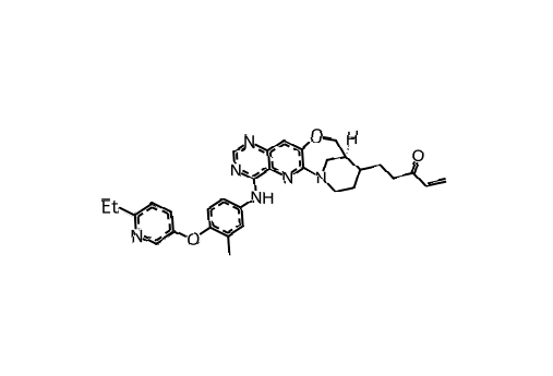 C=CC(=O)CCC1CCN2C[C@H]1COc1cc3ncnc(Nc4ccc(Oc5ccc(CC)nc5)c(C)c4)c3nc12